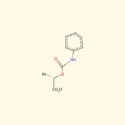 CC(C)[C@H](OC(=O)Nc1ccccc1)C(=O)O